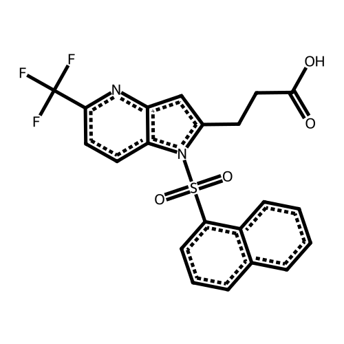 O=C(O)CCc1cc2nc(C(F)(F)F)ccc2n1S(=O)(=O)c1cccc2ccccc12